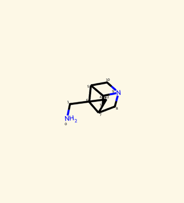 NCC1C=C2C3CC1CN2C3